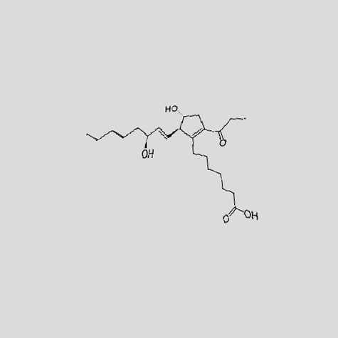 CCCCC[C@H](O)/C=C/[C@@H]1C(CCCCCCC(=O)O)=C(C(=O)CC)C[C@H]1O